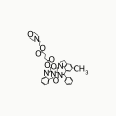 Cc1cc2c3c(c1)C(c1ccccc1)=NC(n1c(COC(=O)CCC(=O)OCCN4CCOCC4)nc4ccccc4c1=O)C(=O)N3CC2